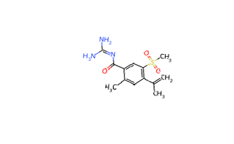 C=C(C)c1cc(C)c(C(=O)N=C(N)N)cc1S(C)(=O)=O